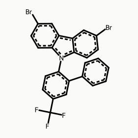 FC(F)(F)c1ccc(-n2c3ccc(Br)cc3c3cc(Br)ccc32)c(-c2ccccc2)c1